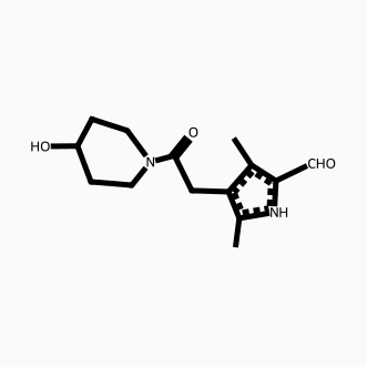 Cc1[nH]c(C=O)c(C)c1CC(=O)N1CCC(O)CC1